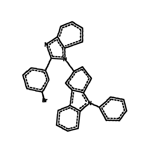 Brc1cccc(-c2nc3ccccc3n2-c2ccc3c(c2)c2ccccc2n3-c2ccccc2)c1